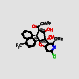 COC(=O)[C@H]1[C@@H](O)[C@@]2(O)c3c(cc(Cl)nc3OC)O[C@@]2(c2ccc(C(F)(F)F)cc2)[C@@H]1c1ccccc1